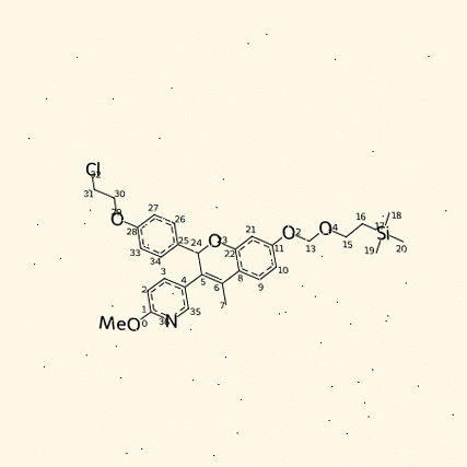 COc1ccc(C2=C(C)c3ccc(OCOCC[Si](C)(C)C)cc3OC2c2ccc(OCCCl)cc2)cn1